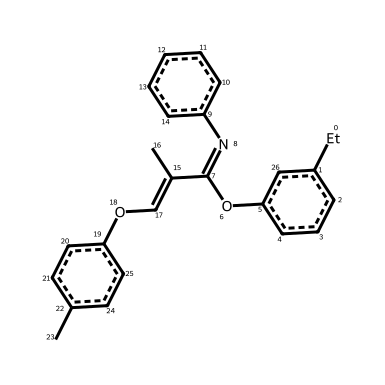 CCc1cccc(OC(=Nc2ccccc2)C(C)=COc2ccc(C)cc2)c1